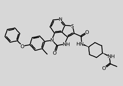 CC(=O)N[C@H]1CC[C@@H](NC(=O)c2sc3nccc4c3c2NC(=O)N4c2ccc(Oc3ccccc3)cc2C)CC1